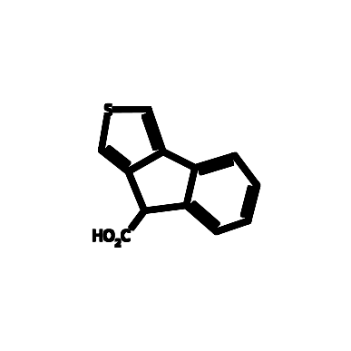 O=C(O)C1c2ccccc2-c2cscc21